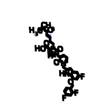 CN(C)C(=O)/C=C/CC[C@H](NC(=O)O)C(=O)Nc1cccn(Cc2cc3cc(F)cc(OCc4ccc(F)cc4F)c3[nH]2)c1=O